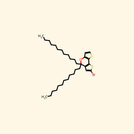 CCCCCCCCCCCCC1(CCCCCCCCCCCC)Oc2ccsc2-c2sc(Br)cc21